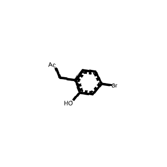 CC(=O)Cc1ccc(Br)cc1O